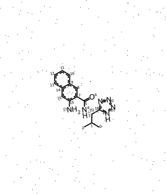 CC(C)[C@H](NC(=O)c1cc2ccccc2cc1N)c1nnn[nH]1